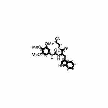 COc1cc(NC(=O)NC(Cc2c[nH]c3ccccc23)C(=O)NCCC#N)cc(OC)c1OC